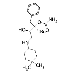 CC1(C)CCC(NC[C@@H](O)[C@@](Cc2ccccc2)(OC(N)=O)C(C)(C)C)CC1